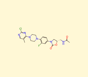 CC(=O)NC[C@H]1CN(c2ccc(N3CCN(c4nc(Cl)ncc4C)CC3)c(F)c2)C(=O)O1